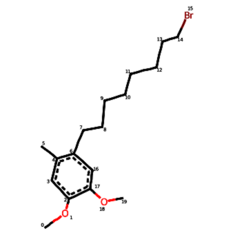 COc1cc(C)c(CCCCCCCCBr)cc1OC